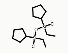 CC[Si](Cl)(O[Si](Cl)(CC)C1CCCC1)C1CCCC1